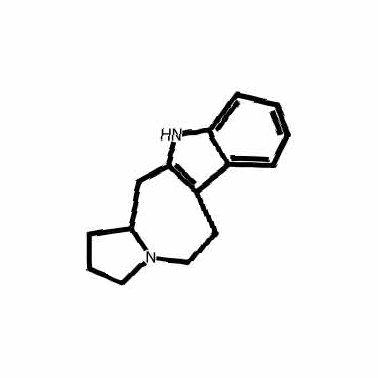 c1ccc2c3c([nH]c2c1)CC1CCCN1CC3